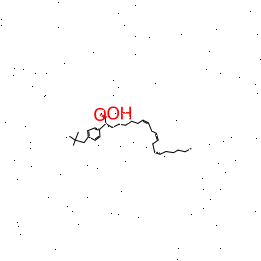 CCCCC/C=C\C/C=C\C/C=C\CCCCCC(C(=O)O)c1ccc(CC(C)(C)C)cc1